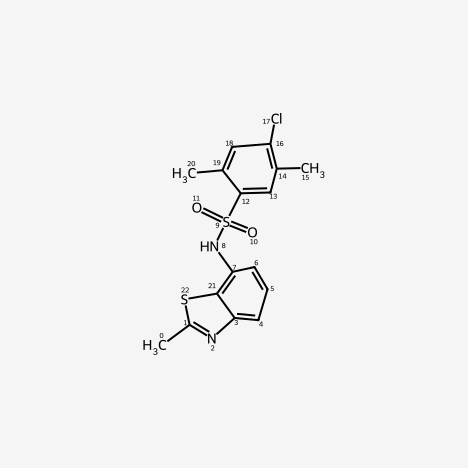 Cc1nc2cccc(NS(=O)(=O)c3cc(C)c(Cl)cc3C)c2s1